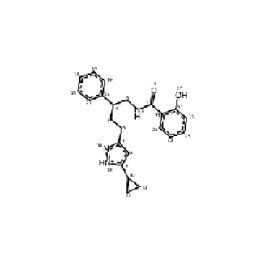 O=C(NCC(CCc1cc(C2CC2)[nH]n1)c1ccccc1)c1ccccc1O